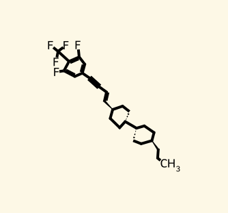 CCC[C@H]1CC[C@H]([C@H]2CC[C@H](C=CC#Cc3cc(F)c(C(F)(F)F)c(F)c3)CC2)CC1